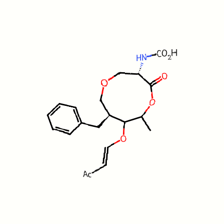 CC(=O)/C=C/OC1C(C)OC(=O)[C@@H](NC(=O)O)COC[C@@H]1Cc1ccccc1